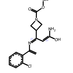 C=C(/N=C(\C=C(/N)O)C1CN(C(=O)OC(C)(C)C)C1)c1ccccc1Cl